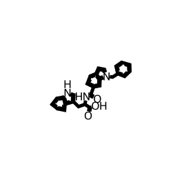 O=C(NC(Cc1c[nH]c2ccccc12)C(=O)O)c1ccc2ccn(Cc3ccccc3)c2c1